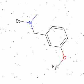 CCN(C)Cc1cccc(OC(F)(F)F)c1